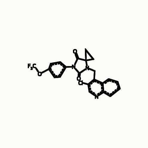 O=C1N(c2ccc(OC(F)(F)F)cc2)C(=O)C2(CC2)N1Cc1c(Cl)cnc2ccccc12